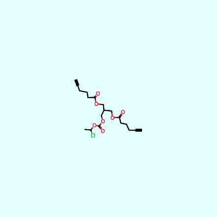 C#CCCCC(=O)OCC(COC(=O)CCCC#C)COC(=O)OC(C)Cl